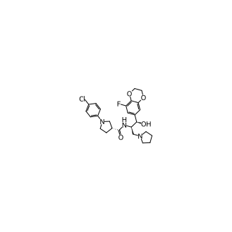 O=C(N[C@H](CN1CCCC1)[C@H](O)c1cc(F)c2c(c1)OCCO2)[C@@H]1CCN(c2ccc(Cl)cc2)C1